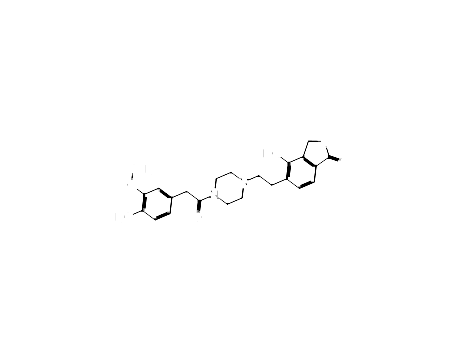 COc1cc(CC(=O)N2CCN(CCc3ccc4c(c3C)COC4=O)CC2)ccc1C